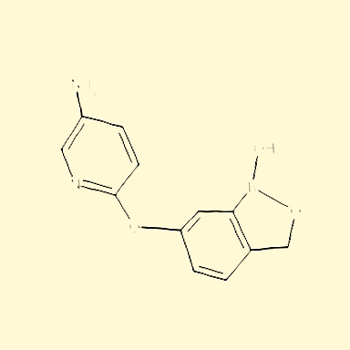 Nc1ccc(Oc2ccc3c(c2)B(O)OC3)nc1